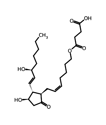 CCCCC[C@H](O)/C=C/[C@H]1[C@H](O)CC(=O)[C@@H]1C/C=C\CCCCOC(=O)CCC(=O)O